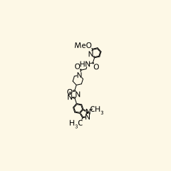 COc1cccc(C(=O)NCC(=O)N2CCC(c3nc(-c4ccc5c(C)nn(C)c5c4)no3)CC2)n1